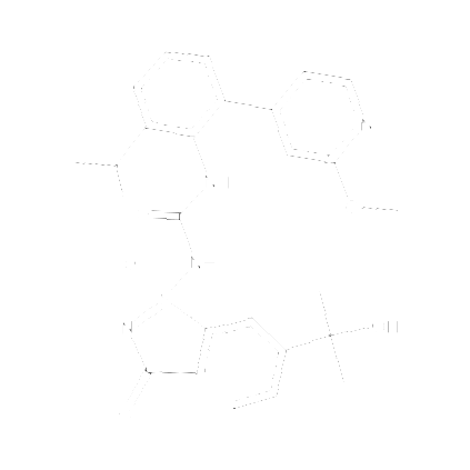 COc1cc(-c2cccc(C(C)C)c2NC(=O)NS2(=O)=NC(=O)c3ccc(C(C)(C)O)cc32)ccn1